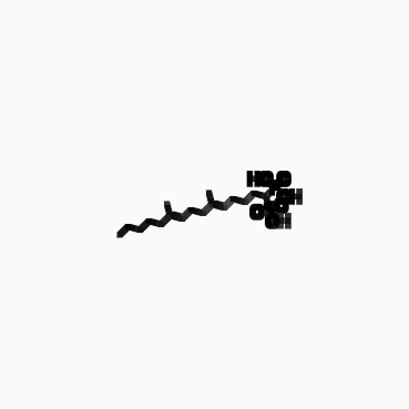 CCCCC/C(C)=C/CC/C(C)=C/CCCC(P(=O)(O)O)S(=O)(=O)O